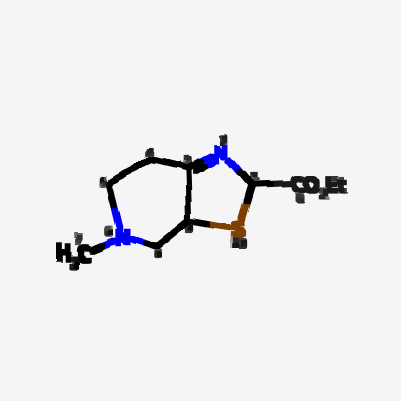 CCOC(=O)C1N=C2CCN(C)CC2S1